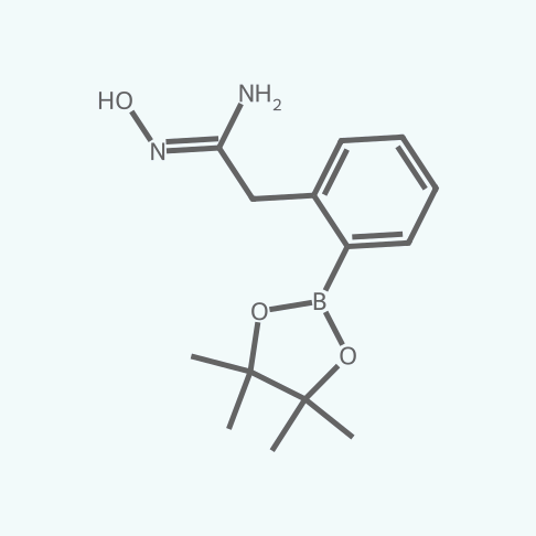 CC1(C)OB(c2ccccc2C/C(N)=N/O)OC1(C)C